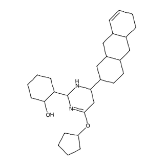 OC1CCCCC1C1N=C(OC2CCCC2)CC(C2CCC3CC4CCC=CC4CC3C2)N1